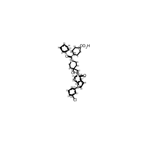 O=C(O)N1CC[C@@H](C(=O)N2CCC(O)(Cn3cnc4c(ccn4-c4cccc(Cl)c4)c3=O)CC2)[C@H](c2ccccc2)C1